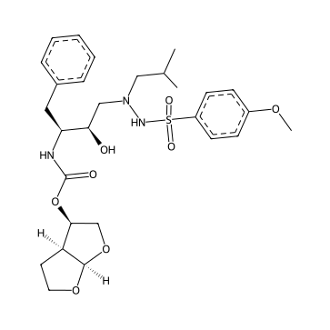 COc1ccc(S(=O)(=O)NN(CC(C)C)C[C@@H](O)[C@H](Cc2ccccc2)NC(=O)O[C@H]2CO[C@H]3OCC[C@H]32)cc1